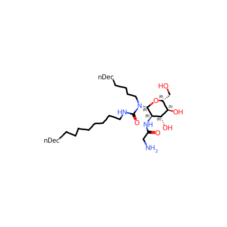 CCCCCCCCCCCCCCCCCCNC(=O)N(CCCCCCCCCCCCCC)[C@@H]1O[C@H](CO)[C@@H](O)[C@H](O)[C@H]1NC(=O)CN